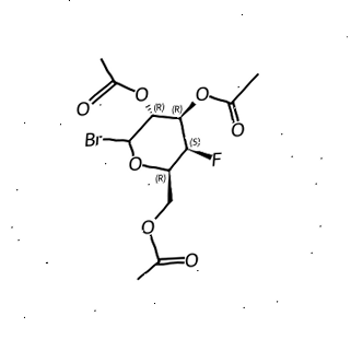 CC(=O)OC[C@H]1OC(Br)[C@H](OC(C)=O)[C@@H](OC(C)=O)[C@H]1F